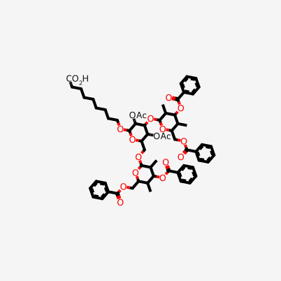 CC(=O)OC1C(COC2OC(COC(=O)c3ccccc3)C(C)C(OC(=O)c3ccccc3)C2C)OC(OCCCCCCCCC(=O)O)C(OC(C)=O)C1OC1OC(COC(=O)c2ccccc2)C(C)C(OC(=O)c2ccccc2)C1C